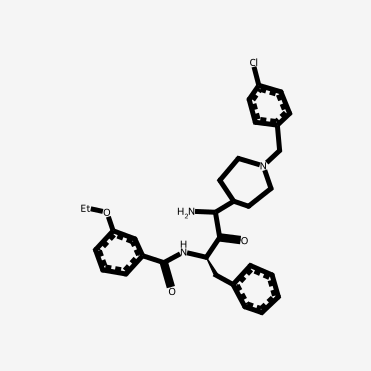 CCOc1cccc(C(=O)N[C@H](Cc2ccccc2)C(=O)C(N)C2CCN(Cc3ccc(Cl)cc3)CC2)c1